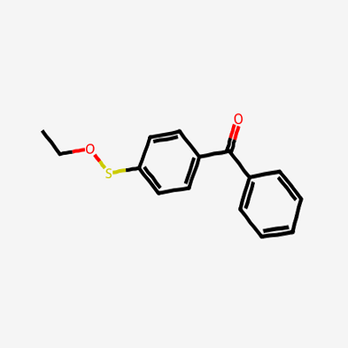 CCOSc1ccc(C(=O)c2ccccc2)cc1